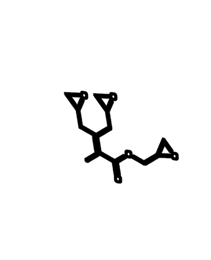 CC(C(=O)OCC1CO1)=C(CC1CO1)CC1CO1